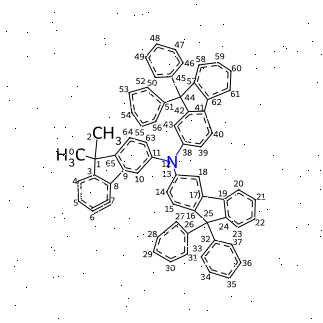 CC1(C)c2ccc#cc2-c2cc(N(c3ccc4c(c3)-c3ccccc3C4(c3ccccc3)c3ccccc3)c3ccc4c(c3)C(c3ccccc3)(c3ccccc3)c3ccccc3-4)ccc21